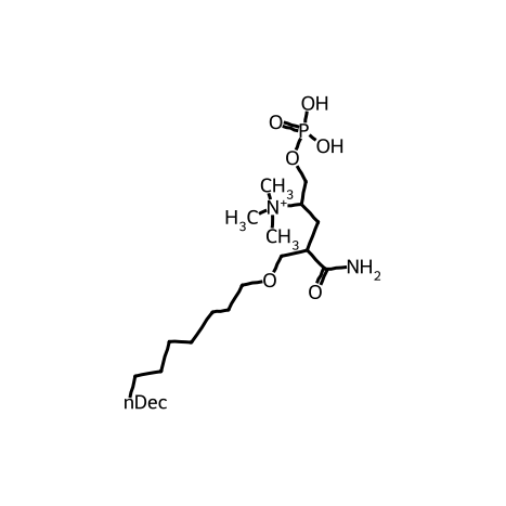 CCCCCCCCCCCCCCCCCOCC(CC(COP(=O)(O)O)[N+](C)(C)C)C(N)=O